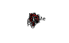 COc1cc(-c2cccc(-c3ccnc(-c4ccc5c(c4)CN(CCNC[C@H]4CCC(=O)N4)C5=O)c3Cl)c2Cl)cc(F)c1CNC[C@H]1CCC(=O)N1